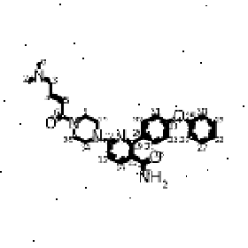 CN(C)CC=CC(=O)N1CCN(c2ccc(C(N)=O)c(-c3ccc(Oc4ccccc4)cc3)n2)CC1